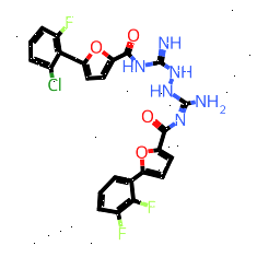 N=C(NNC(N)=NC(=O)c1ccc(-c2cccc(F)c2F)o1)NC(=O)c1ccc(-c2c(F)cccc2Cl)o1